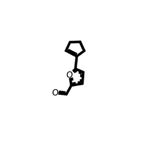 O=Cc1ccc(C2=CCCC2)o1